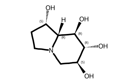 O[C@H]1[C@H](O)[C@@H](O)CN2CC[C@H](O)[C@H]12